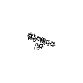 Cc1cc(C[C@@H](OC(=O)N2CCC(N3CCc4ccccc4NC3=O)CC2)C(=O)N2CCC(C3CCOCC3)CC2)cc(Cl)c1O